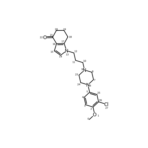 COc1ccc(N2CCN(CCCn3ccc4c3CCCC4=O)CC2)cc1Cl